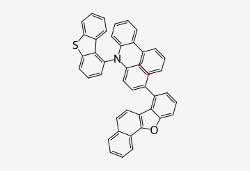 c1ccc(-c2ccccc2N(c2ccc(-c3cccc4oc5c6ccccc6ccc5c34)cc2)c2cccc3sc4ccccc4c23)cc1